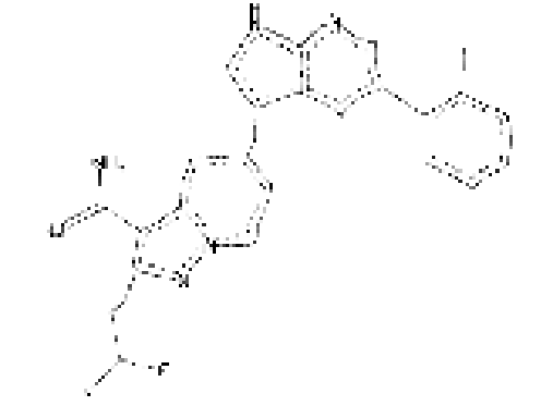 Cc1ccccc1-c1cnc2[nH]cc(-c3ccn4nc(CC(F)F)c(C(N)=O)c4c3)c2c1